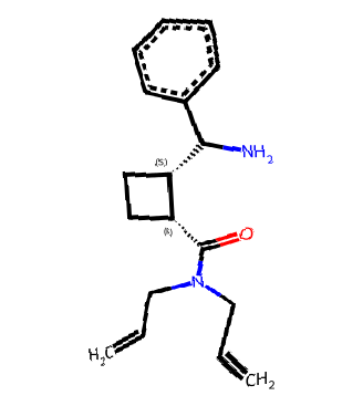 C=CCN(CC=C)C(=O)[C@@H]1CC[C@@H]1C(N)c1ccccc1